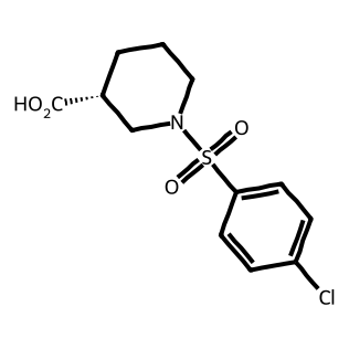 O=C(O)[C@@H]1CCCN(S(=O)(=O)c2ccc(Cl)cc2)C1